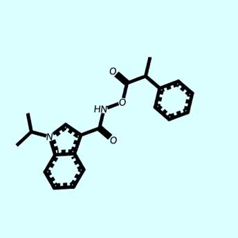 CC(C(=O)ONC(=O)c1cn(C(C)C)c2ccccc12)c1ccccc1